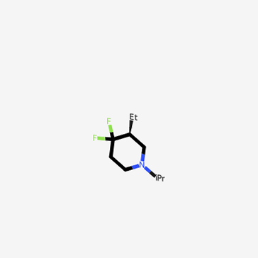 CC[C@H]1CN(C(C)C)CCC1(F)F